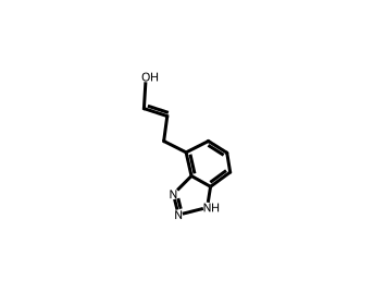 OC=CCc1cccc2[nH]nnc12